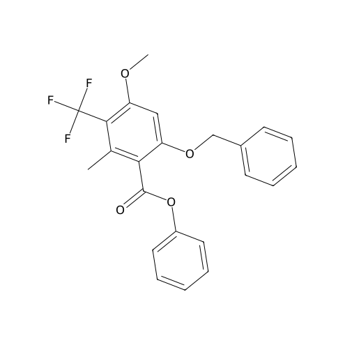 COc1cc(OCc2ccccc2)c(C(=O)Oc2ccccc2)c(C)c1C(F)(F)F